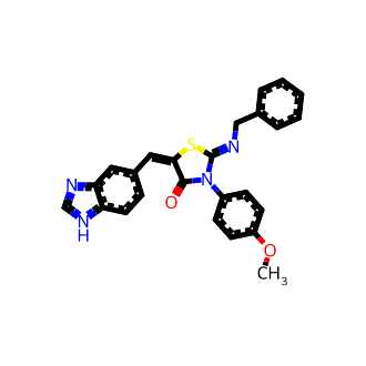 COc1ccc(N2C(=O)C(=Cc3ccc4[nH]cnc4c3)SC2=NCc2ccccc2)cc1